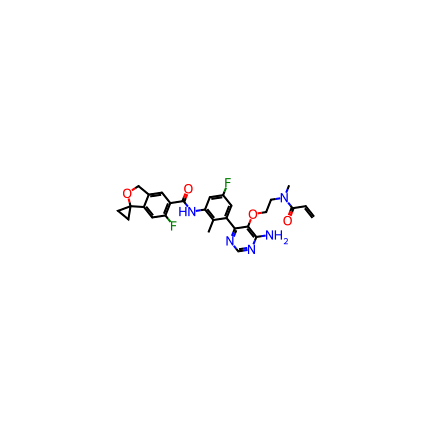 C=CC(=O)N(C)CCOc1c(N)ncnc1-c1cc(F)cc(NC(=O)c2cc3c(cc2F)C2(CC2)OC3)c1C